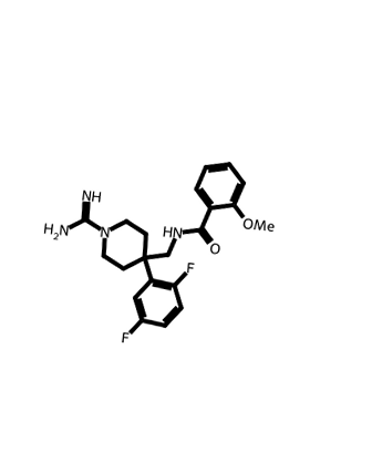 COc1ccccc1C(=O)NCC1(c2cc(F)ccc2F)CCN(C(=N)N)CC1